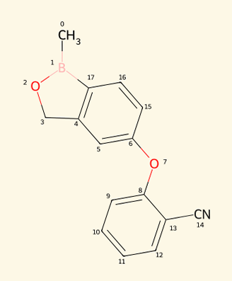 CB1OCc2cc(Oc3ccccc3C#N)ccc21